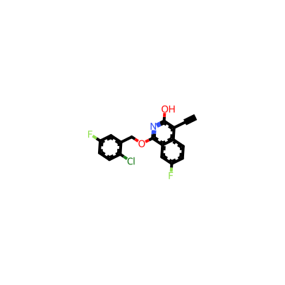 C#Cc1c(O)nc(OCc2cc(F)ccc2Cl)c2cc(F)ccc12